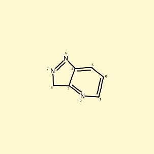 c1cnc2c(c1)N=NC2